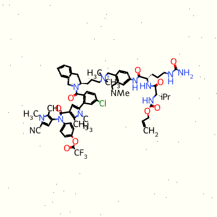 C=CCOC(=O)N[C@H](C(=O)N[C@@H](CCCNC(N)=O)C(=O)Nc1ccc(C[N+](C)(C)CCC[C@@H]2Cc3ccccc3CN2C(=O)c2ccc(Cl)cc2-c2cc(C(=O)N(c3ccc(OC(=O)C(F)(F)F)cc3)c3cc(C#N)n(C)c3C)c(C)n2C)c(CNC)c1)C(C)C